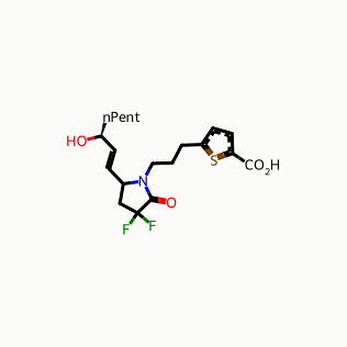 CCCCC[C@H](O)/C=C/C1CC(F)(F)C(=O)N1CCCc1ccc(C(=O)O)s1